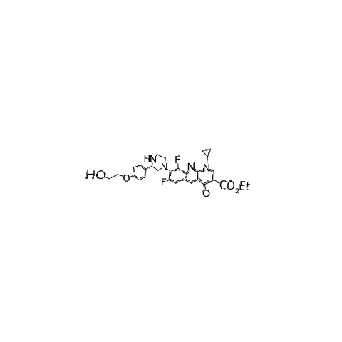 CCOC(=O)c1cn(C2CC2)c2nc3c(F)c(N4CCNC(c5ccc(OCCO)cc5)C4)c(F)cc3cc2c1=O